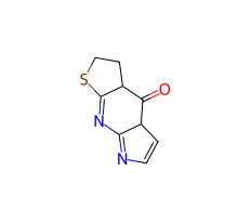 O=C1C2C=CN=C2N=C2SCCC12